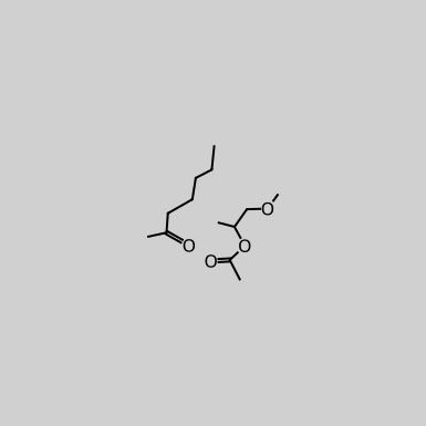 CCCCCC(C)=O.COCC(C)OC(C)=O